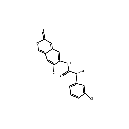 O=C1C=c2cc(NC(=O)[C@H](O)c3cccc(Cl)c3)c(Cl)cc2=C[N]1